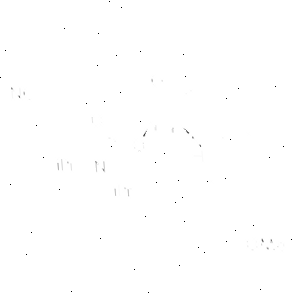 COc1ccc(C(N[C@@H]2C(C)OC[C@@H]2OP(OCCC#N)N(C(C)C)C(C)C)(c2ccccc2)c2ccccc2)cc1